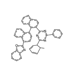 CC1C=CC=CC1c1nc(-c2ccccc2)nc(-c2ccc3ccccc3c2-c2ccc(-c3nc4ccccc4o3)c3ccccc23)n1